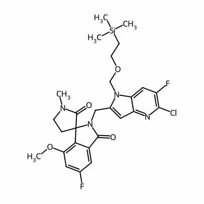 COc1cc(F)cc2c1C1(CCN(C)C1=O)N(Cc1cc3nc(Cl)c(F)cc3n1COCC[Si](C)(C)C)C2=O